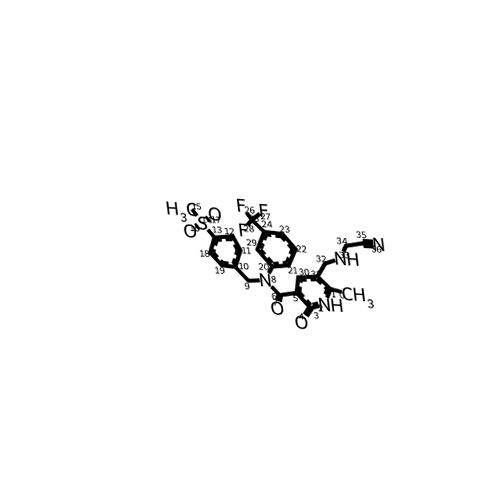 Cc1[nH]c(=O)c(C(=O)N(Cc2ccc(S(C)(=O)=O)cc2)c2cccc(C(F)(F)F)c2)cc1CNCC#N